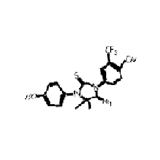 CC1(C)C(=N)N(c2ccc(C#N)c(C(F)(F)F)c2)C(=S)N1c1ccc(O)cc1